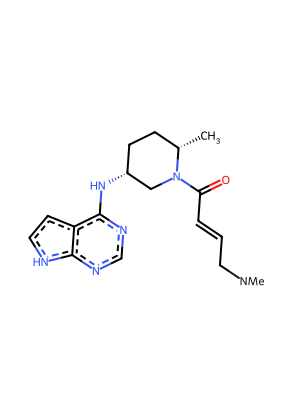 CNC/C=C/C(=O)N1C[C@H](Nc2ncnc3[nH]ccc23)CC[C@@H]1C